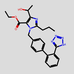 CCCc1nc(C(C)O)c(C(=O)OCC)n1Cc1ccc(-c2ccccc2-c2nnn[nH]2)cc1